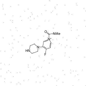 CNC(=O)[n+]1ccc(F)c(N2CCNCC2)c1